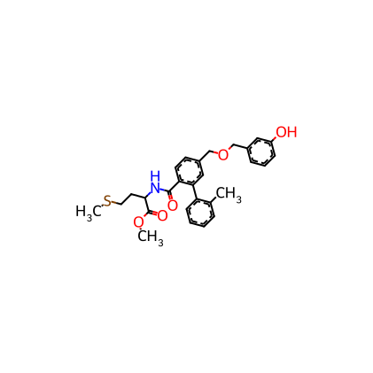 COC(=O)C(CCSC)NC(=O)c1ccc(COCc2cccc(O)c2)cc1-c1ccccc1C